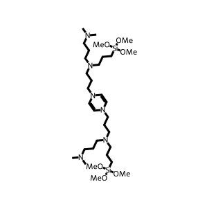 CO[Si](CCCN(CCCN(C)C)CCCN1C=CN(CCCN(CCCN(C)C)CCC[Si](OC)(OC)OC)C=C1)(OC)OC